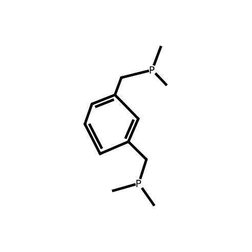 CP(C)Cc1cccc(CP(C)C)c1